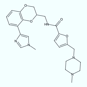 CN1CCN(Cc2ccc(C(=O)NCC3COc4cccc(-c5cn(C)cn5)c4O3)o2)CC1